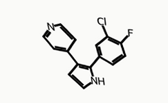 Fc1ccc(-c2[nH]ccc2-c2ccncc2)cc1Cl